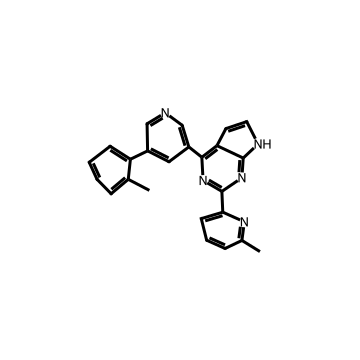 Cc1cccc(-c2nc(-c3cncc(-c4ccccc4C)c3)c3cc[nH]c3n2)n1